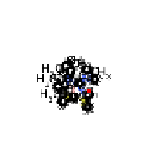 CC1(C)CCC(C)(C)c2cc(N3c4cc5c(cc4B4c6c3cc(N3c7ccccc7C7(C)CCCCC37C)cc6N(c3cccc6c3sc3ccccc36)c3ccc6c(sc7ccccc76)c34)C(C)(C)CCC5(C)C)ccc21